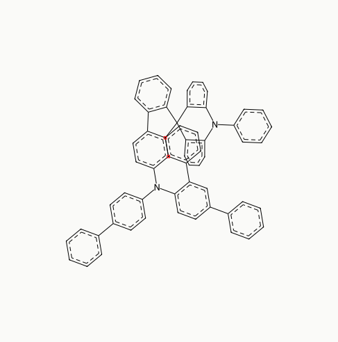 c1ccc(-c2ccc(N(c3ccc4c(c3)C3(c5ccccc5-4)c4ccccc4N(c4ccccc4)c4ccccc43)c3ccc(-c4ccccc4)cc3-c3ccccc3)cc2)cc1